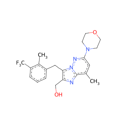 Cc1c(Cc2c(CO)nc3c(C)cc(N4CCOCC4)nn23)cccc1C(F)(F)F